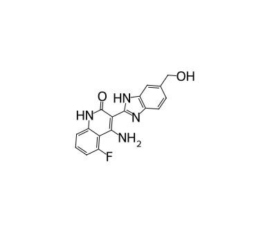 Nc1c(-c2nc3ccc(CO)cc3[nH]2)c(=O)[nH]c2cccc(F)c12